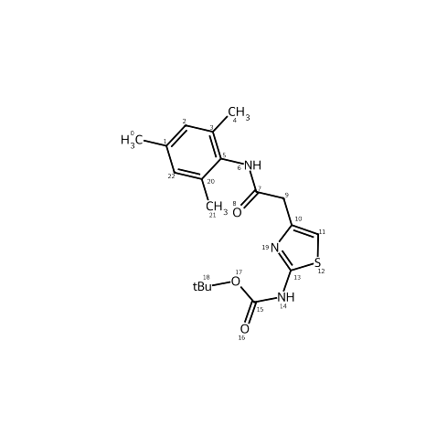 Cc1cc(C)c(NC(=O)Cc2csc(NC(=O)OC(C)(C)C)n2)c(C)c1